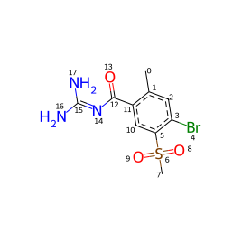 Cc1cc(Br)c(S(C)(=O)=O)cc1C(=O)N=C(N)N